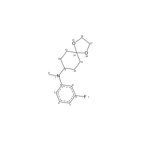 CN(c1cccc(F)c1)C1CCC2(CC1)OCCO2